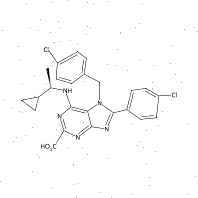 C[C@@H](Nc1nc(C(=O)O)nc2nc(-c3ccc(Cl)cc3)n(Cc3ccc(Cl)cc3)c12)C1CC1